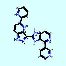 c1ccc(-c2ccc3[nH]nc(-c4nc5c(-c6cccnc6)nccc5[nH]4)c3n2)nc1